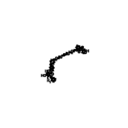 Cc1c(O)cc(O)c(C(=O)N2Cc3ccc(CN4CCN(CCOCCOCCOCCOCCOCCOc5cccc6c5C(=O)N(C5CCONO5)C6=O)CC4)cc3C2)c1OCc1ccccc1